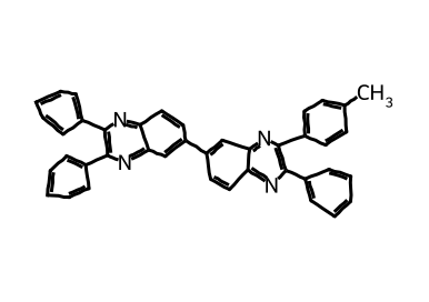 Cc1ccc(-c2nc3cc(-c4ccc5nc(-c6ccccc6)c(-c6ccccc6)nc5c4)ccc3nc2-c2ccccc2)cc1